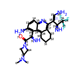 CN(C)C1CN(C(=O)C(=N)c2c(N)ccc3nc(/C(=C/N)C(=N)C(F)(F)F)c4c(c23)CCCC4)C1